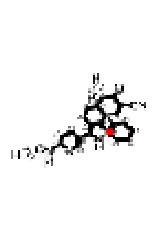 C[C@@H]1C(=O)C(C#N)=C[C@]2(c3ccccc3)c3n[nH]c(-c4ccc(NC(=O)O)nc4)c3CC[C@@H]12